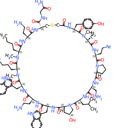 CCCC[C@H]1C(=O)N(C)[C@@H](CCCC)C(=O)N[C@@H](CCN)C(=O)N[C@H](C(=O)NCC(N)=O)CSCC(=O)N[C@@H](Cc2ccc(O)cc2)C(=O)N(C)[C@@H](C)C(=O)N[C@@H](CCN)C(=O)N2CCC[C@H]2C(=O)N[C@@H](CN)C(=O)N[C@@H](CC(C)C)C(=O)N2C[C@H](O)C[C@H]2C(=O)N[C@@H](Cc2c[nH]c3ccccc23)C(=O)N[C@@H](CCN)C(=O)N[C@@H](Cc2c[nH]c3ccccc23)C(=O)N1C